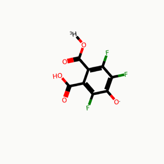 [3H]OC(=O)c1c(F)c(F)c([O])c(F)c1C(=O)O